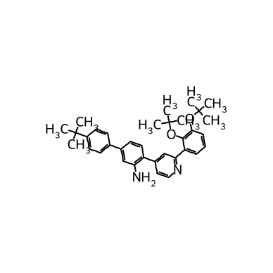 CC(C)(C)Oc1cccc(-c2cc(-c3ccc(-c4ccc(C(C)(C)C)cc4)cc3N)ccn2)c1OC(C)(C)C